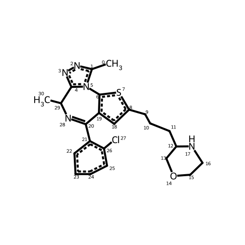 Cc1nnc2n1-c1sc(CCCC3COCCN3)cc1C(c1ccccc1Cl)=NC2C